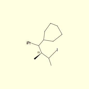 CC(C)C(C1CCCCC1)[C@H](C)C(C)I